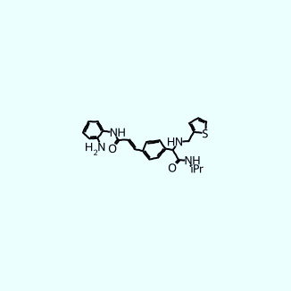 CC(C)NC(=O)C(NCc1cccs1)c1ccc(/C=C/C(=O)Nc2ccccc2N)cc1